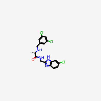 C[C@H](NCc1cc(Cl)cc(Cl)c1)C(=O)NCc1nc2ccc(Cl)cc2[nH]1